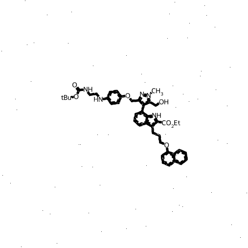 CCOC(=O)c1[nH]c2c(-c3c(COc4ccc(NCCNC(=O)OC(C)(C)C)cc4)nn(C)c3CO)cccc2c1CCCOc1cccc2ccccc12